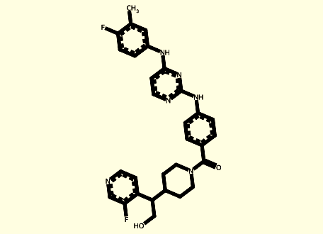 Cc1cc(Nc2ccnc(Nc3ccc(C(=O)N4CCC(C(CO)c5ccncc5F)CC4)cc3)n2)ccc1F